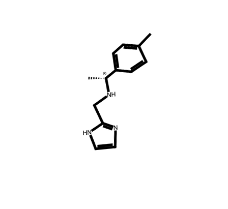 Cc1ccc([C@@H](C)NCc2ncc[nH]2)cc1